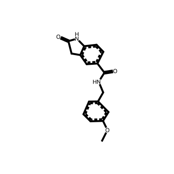 COc1cccc(CNC(=O)c2ccc3c(c2)CC(=O)N3)c1